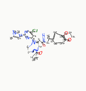 CC(C)CC(=O)N1CCN(c2cc(Cl)nc(-n3ccnc3)n2)C(CC(=O)NCCc2ccc3c(c2)OCCO3)C1